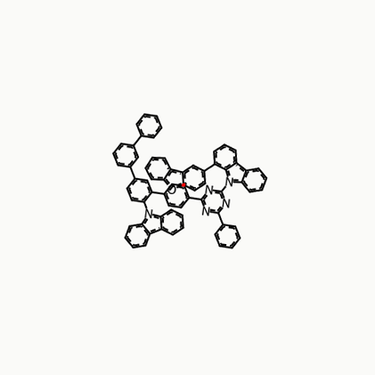 c1ccc(-c2cccc(-c3ccc(-n4c5ccccc5c5ccccc54)c(-c4ccc(-c5nc(-c6ccccc6)nc(-n6c7ccccc7c7cccc(-c8ccc9oc%10ccccc%10c9c8)c76)n5)cc4)c3)c2)cc1